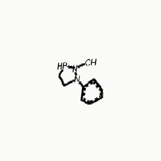 ON1PCCN1c1ccccc1